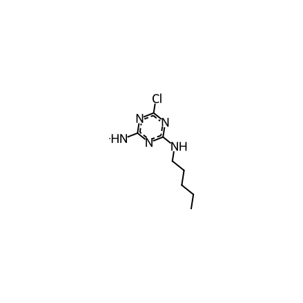 CCCCCNc1nc([NH])nc(Cl)n1